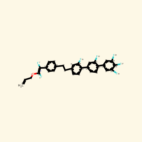 C=CCO/C(F)=C(\F)c1ccc(CCc2ccc(-c3ccc(-c4cc(F)c(F)c(F)c4)c(F)c3)c(F)c2)cc1